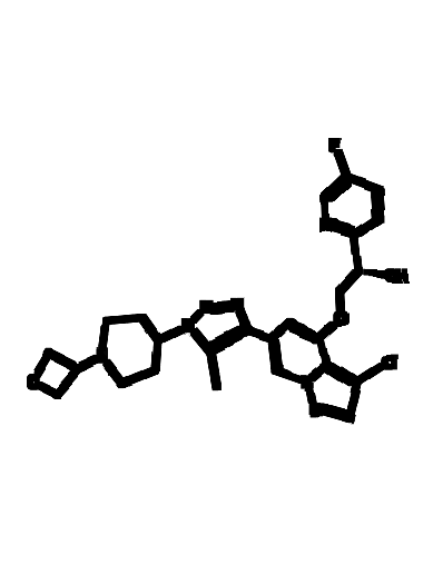 Cc1c(-c2cc(OC[C@@H](O)c3ccc(F)cn3)c3c(Cl)cnn3c2)nnn1C1CCN(C2COC2)CC1